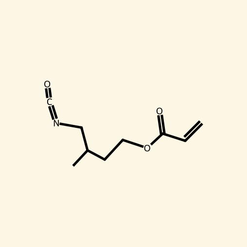 C=CC(=O)OCCC(C)CN=C=O